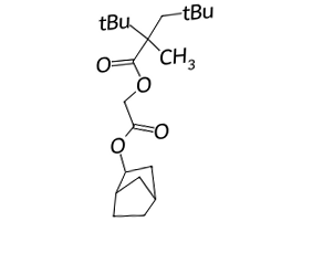 CC(C)(C)CC(C)(C(=O)OCC(=O)OC1CC2CCC1C2)C(C)(C)C